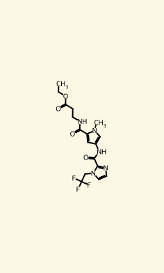 CCOC(=O)CCNC(=O)c1cc(NC(=O)c2nccn2CC(F)(F)F)cn1C